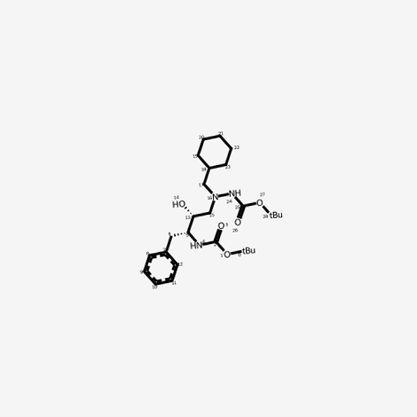 CC(C)(C)OC(=O)N[C@H](Cc1ccccc1)[C@H](O)CN(CC1CCCCC1)NC(=O)OC(C)(C)C